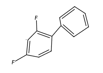 Fc1[c]c(F)c(-c2ccccc2)cc1